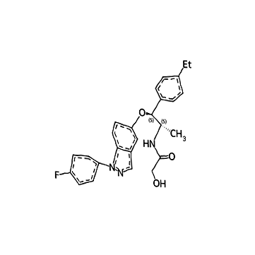 CCc1ccc([C@H](Oc2ccc3c(cnn3-c3ccc(F)cc3)c2)[C@H](C)NC(=O)CO)cc1